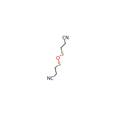 N#CCCSOSCCC#N